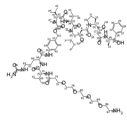 CCC(C)[C@@H]([C@@H](CC(=O)N1CCC[C@H]1[C@H](OC)[C@@H](C)C(=O)N[C@H](C)[C@@H](O)c1ccccc1)OC)N(C)C(=O)[C@@H](NC(=O)[C@H](C(C)C)N(C)C(=O)OCc1ccc(NC(=O)C(CCCNC(N)=O)NC(=O)[C@@H](NC(=O)CCOCCOCCOCCOCCN)C(C)C)cc1)C(C)C